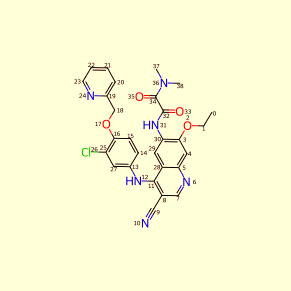 CCOc1cc2ncc(C#N)c(Nc3ccc(OCc4ccccn4)c(Cl)c3)c2cc1NC(=O)C(=O)N(C)C